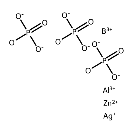 O=P([O-])([O-])[O-].O=P([O-])([O-])[O-].O=P([O-])([O-])[O-].[Ag+].[Al+3].[B+3].[Zn+2]